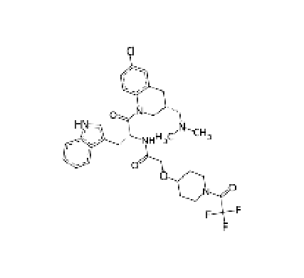 CN(C)C[C@H]1Cc2cc(Cl)ccc2N(C(=O)[C@@H](Cc2c[nH]c3ccccc23)NC(=O)COC2CCN(C(=O)C(F)(F)F)CC2)C1